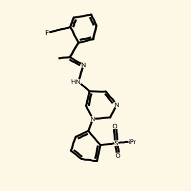 C/C(=N\NC1=CN(c2ccccc2S(=O)(=O)C(C)C)CN=C1)c1ccccc1F